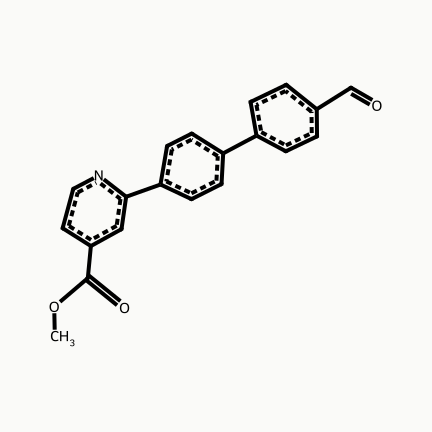 COC(=O)c1ccnc(-c2ccc(-c3ccc(C=O)cc3)cc2)c1